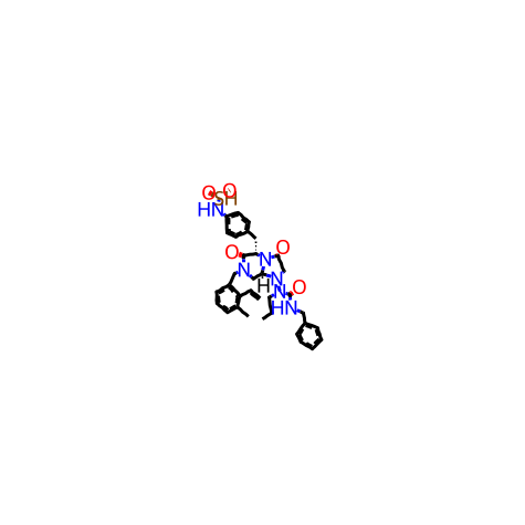 C=Cc1c(C)cccc1CN1C[C@H]2N(C(=O)CN2N(CCC)C(=O)NCc2ccccc2)[C@@H](Cc2ccc(N[SH](=O)=O)cc2)C1=O